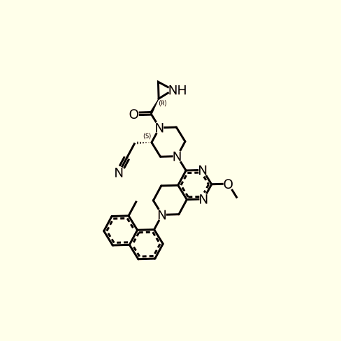 COc1nc2c(c(N3CCN(C(=O)[C@H]4CN4)[C@@H](CC#N)C3)n1)CCN(c1cccc3cccc(C)c13)C2